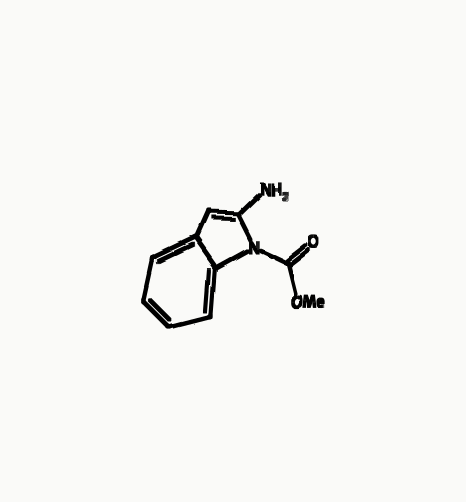 COC(=O)n1c(N)cc2ccccc21